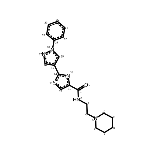 O=C(NCCN1CCCCC1)c1csc(-c2cnn(-c3ccccc3)c2)n1